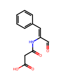 O=[C]C(=Cc1ccccc1)NC(=O)CC(=O)O